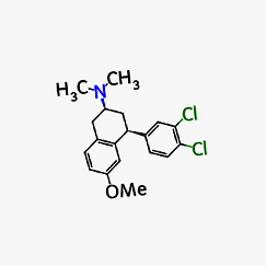 COc1ccc2c(c1)[C@H](c1ccc(Cl)c(Cl)c1)C[C@H](N(C)C)C2